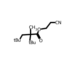 CC(C)(C)CC(C)(C(=O)OCCC#N)C(C)(C)C